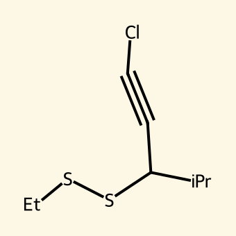 CCSSC(C#CCl)C(C)C